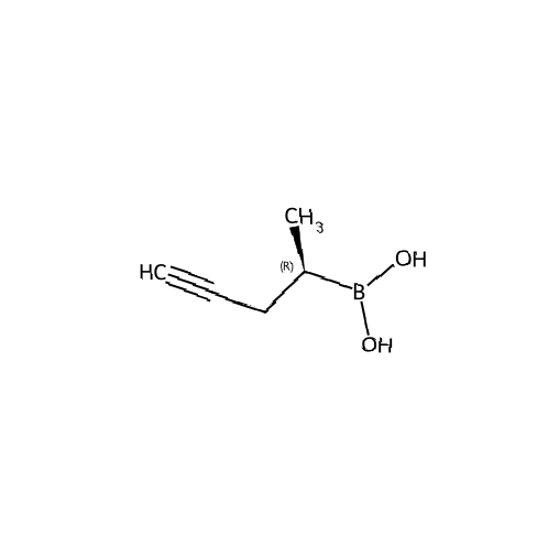 C#CC[C@@H](C)B(O)O